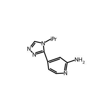 CC(C)n1cnnc1-c1ccnc(N)c1